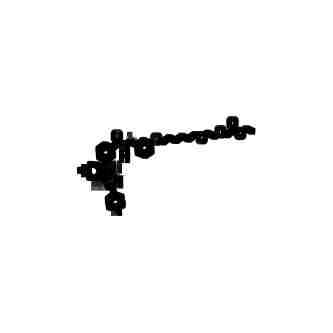 CCOC(=O)COCCOCCCCCCOc1cccc([C@@H](C)NC(=O)c2cccc(NC3(c4nnc(-c5ccncc5)[nH]4)CCN(C)CC3)c2)c1